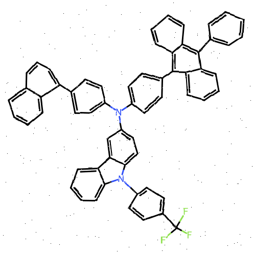 FC(F)(F)c1ccc(-n2c3ccccc3c3cc(N(c4ccc(-c5cccc6ccccc56)cc4)c4ccc(-c5c6ccccc6c(-c6ccccc6)c6ccccc56)cc4)ccc32)cc1